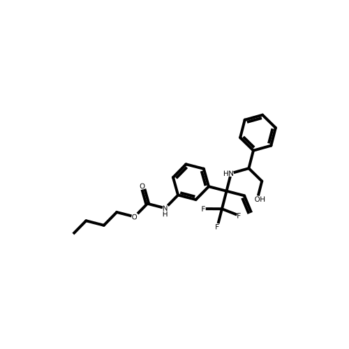 C=CC(NC(CO)c1ccccc1)(c1cccc(NC(=O)OCCCC)c1)C(F)(F)F